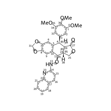 COc1cc([C@@H]2c3cc4c(cc3[C@H](ONc3ccc5ccccc5n3)[C@H]3COC(=O)[C@H]23)OCO4)cc(OC)c1OC